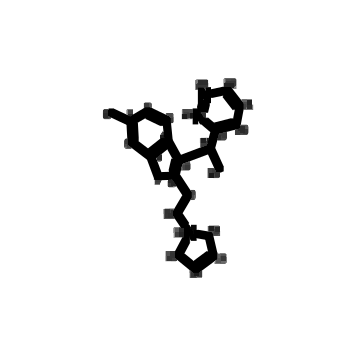 Cc1ccc2c(c1)CC(CCN1CC=CC1)=C2C(C)c1cccnn1